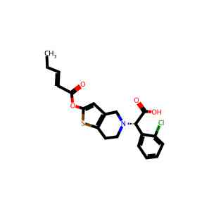 CC/C=C/C(=O)Oc1cc2c(s1)CCN([C@H](C(=O)O)c1ccccc1Cl)C2